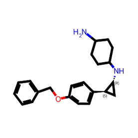 NC1CCC(N[C@@H]2C[C@H]2c2ccc(OCc3ccccc3)cc2)CC1